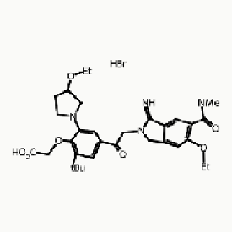 Br.CCOc1cc2c(cc1C(=O)NC)C(=N)N(CC(=O)c1cc(N3CCC(OCC)C3)c(OCC(=O)O)c(C(C)(C)C)c1)C2